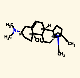 C[C@H]1C2CCC3[C@@H]4CC=C5C[C@@H](N(C)C)CC[C@]5(C)C4CC[C@@]32CN1C